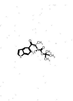 C[C@@H](C(=O)c1ccc2sccc2c1)N(C)C(=O)OC(C)(C)C